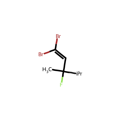 CC(C)C(C)(F)C=C(Br)Br